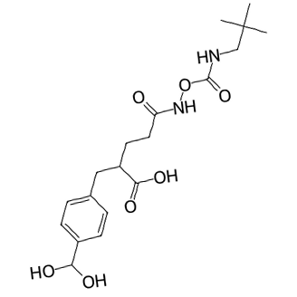 CC(C)(C)CNC(=O)ONC(=O)CCC(Cc1ccc(C(O)O)cc1)C(=O)O